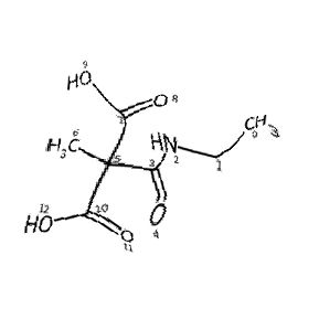 CCNC(=O)C(C)(C(=O)O)C(=O)O